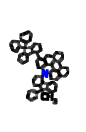 CC1(c2ccccc2)c2ccccc2-c2c(N(c3ccc(-c4cccc5c4-c4ccccc4C5(c4ccccc4)c4ccccc4)cc3)c3ccccc3-c3cccc4cccc(C5CCCCC5)c34)cccc21